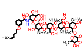 CCCCCC/C=C\CCCOc1cccc(C(=O)N[C@@H]2C(O[C@H]3C(O)C(NC(C)=O)C(O[C@@H]4C(CO)O[C@@H](O[C@H]5C(O)C(NC(C)=O)C(OC6C(CO[C@@H]7OC(C)C(O)[C@H](O)[C@H]7O)OC(O)[C@@H](NC(C)=O)[C@H]6O)O[C@H]5CO)[C@@H](NC(C)=O)C4O)O[C@H]3CO)OC(CO)[C@@H](O)[C@@H]2O)c1